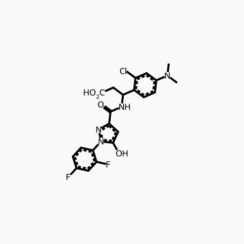 CN(C)c1ccc(C(CC(=O)O)NC(=O)c2cc(O)n(-c3ccc(F)cc3F)n2)c(Cl)c1